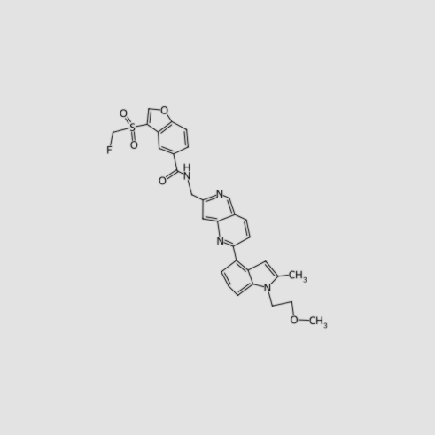 COCCn1c(C)cc2c(-c3ccc4cnc(CNC(=O)c5ccc6occ(S(=O)(=O)CF)c6c5)cc4n3)cccc21